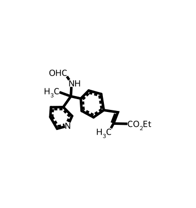 CCOC(=O)/C(C)=C/c1ccc(C(C)(NC=O)c2cccnc2)cc1